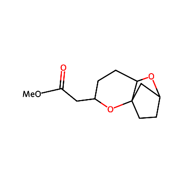 COC(=O)CC1CCC2OC3CCC2(C3)O1